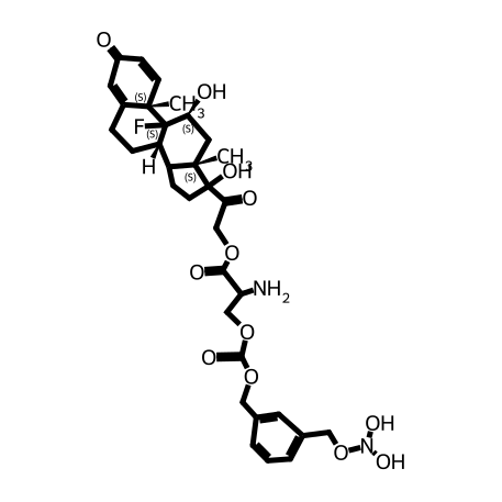 C[C@]12C=CC(=O)C=C1CC[C@H]1C3CCC(O)(C(=O)COC(=O)C(N)COC(=O)OCc4cccc(CON(O)O)c4)[C@@]3(C)C[C@H](O)C12F